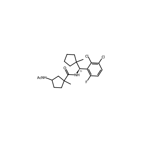 CC(=O)NC1CCC(C)(C(=O)N[C@H](c2c(F)ccc(Cl)c2Cl)C2(C)CCCC2)C1